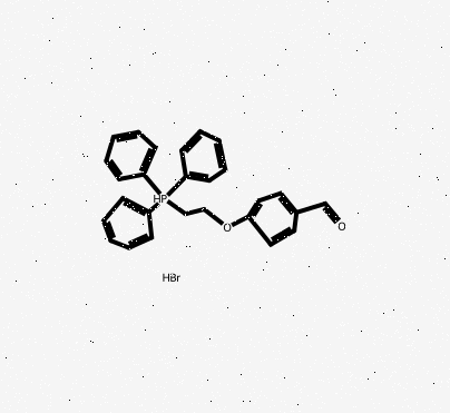 Br.O=Cc1ccc(OCC[PH](c2ccccc2)(c2ccccc2)c2ccccc2)cc1